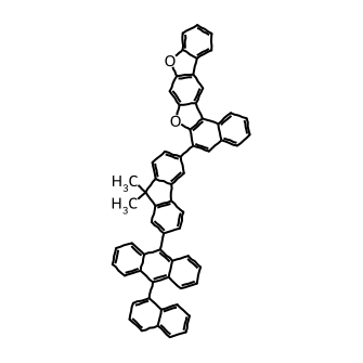 CC1(C)c2ccc(-c3cc4ccccc4c4c3oc3cc5oc6ccccc6c5cc34)cc2-c2ccc(-c3c4ccccc4c(-c4cccc5ccccc45)c4ccccc34)cc21